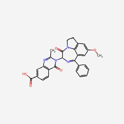 COc1cc2c3c(c1)C(c1ccccc1)=NC(n1c(C)nc4cc(C(=O)O)ccc4c1=O)C(=O)N3CC2